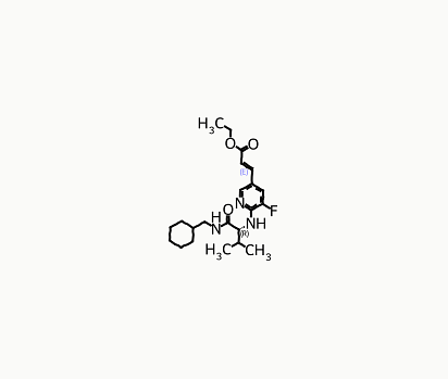 CCOC(=O)/C=C/c1cnc(N[C@@H](C(=O)NCC2CCCCC2)C(C)C)c(F)c1